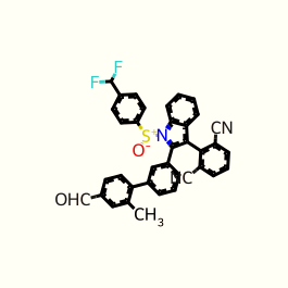 Cc1cc(C=O)ccc1-c1cccc(-c2c(-c3c(C#N)cccc3C#N)c3ccccc3n2[S+]([O-])c2ccc(C(F)F)cc2)c1